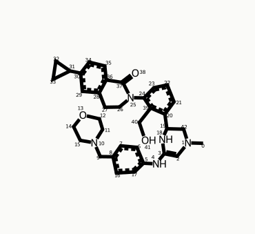 CN1C=C(Nc2ccc(CN3CCOCC3)cc2)NC(c2cccc(N3CCc4cc(C5CC5)ccc4C3=O)c2CO)C1